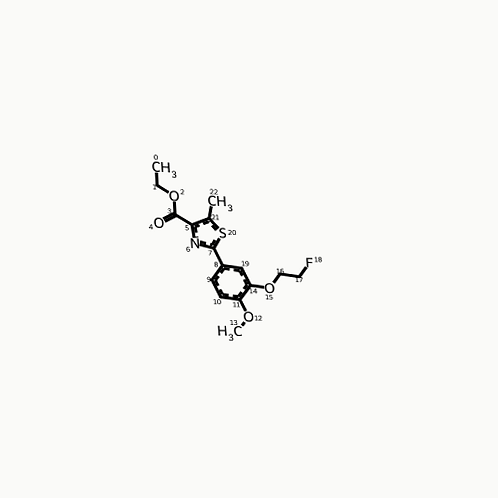 CCOC(=O)c1nc(-c2ccc(OC)c(OCCF)c2)sc1C